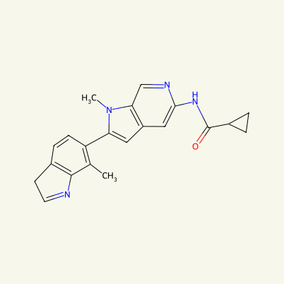 Cc1c(-c2cc3cc(NC(=O)C4CC4)ncc3n2C)ccc2c1N=CC2